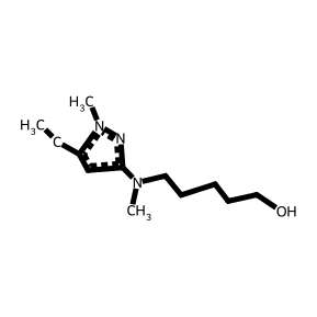 CCc1cc(N(C)CCCCCO)nn1C